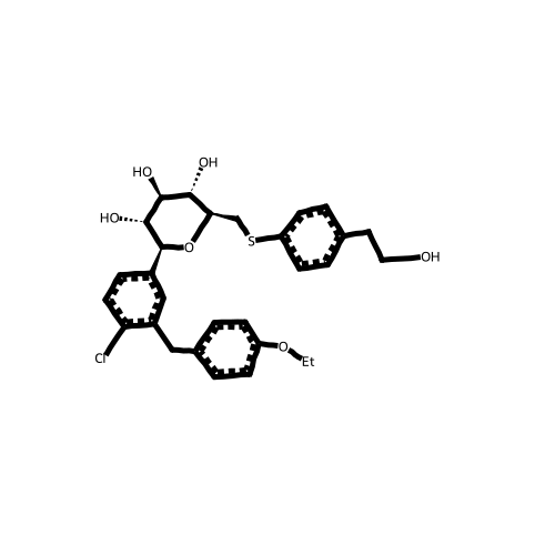 CCOc1ccc(Cc2cc([C@@H]3O[C@H](CSc4ccc(CCO)cc4)[C@@H](O)[C@H](O)[C@H]3O)ccc2Cl)cc1